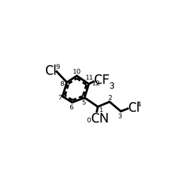 N#CC(CCCl)c1ccc(Cl)cc1C(F)(F)F